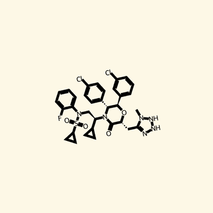 CN1NNN=C1C[C@H]1O[C@H](c2cccc(Cl)c2)[C@@H](c2ccc(Cl)cc2)N([C@H](CN(c2ccccc2F)S(=O)(=O)C2CC2)C2CC2)C1=O